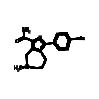 CC(=O)c1ccc(-c2nc(C(N)=O)c3n2CCCN(C)C3)cc1